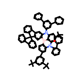 CC(C)(C)c1cc(-c2ccc3c(c2)N(c2ccccc2-c2ccccc2)c2cc(C(C)(C)C)cc4c2B3c2cc3c(cc2N4c2cc(-c4ccccc4)cc(-c4ccccc4)c2)-c2ccccc2C32c3ccccc3-c3ccccc32)cc(C(C)(C)C)c1